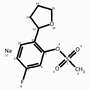 CS(=O)(=O)Oc1cc(F)ccc1C1CCCO1.[Na]